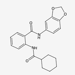 O=C(Nc1ccc2c(c1)OCO2)c1ccccc1NC(=O)C1CCCCC1